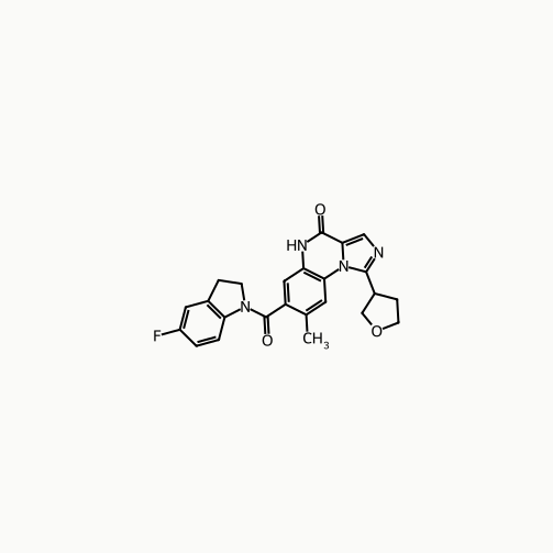 Cc1cc2c(cc1C(=O)N1CCc3cc(F)ccc31)[nH]c(=O)c1cnc(C3CCOC3)n12